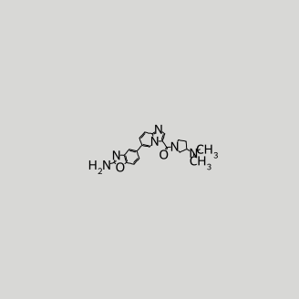 CN(C)C1CCN(C(=O)c2cnc3ccc(-c4ccc5oc(N)nc5c4)cn23)C1